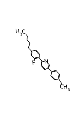 CCCCCc1ccc(-c2ccc(-c3ccc(CC)cc3)cn2)c(F)c1